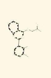 Cc1cccc(-c2nc(NCC(C)N)c3ccccc3n2)c1O